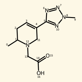 CC1CC=C(c2nnn(C)n2)CN1CC(=O)O